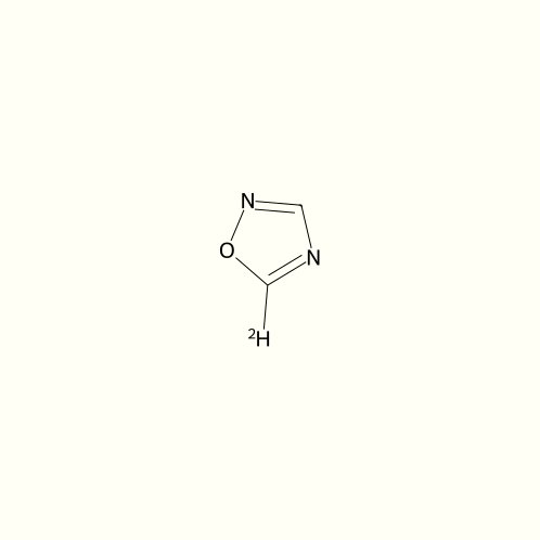 [2H]c1ncno1